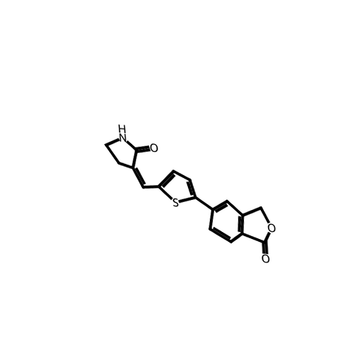 O=C1NCC/C1=C/c1ccc(-c2ccc3c(c2)COC3=O)s1